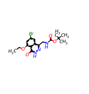 CCOc1cc(Br)cc2c(CNC(=O)OC(C)(C)C)n[nH]c(=O)c12